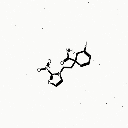 NC(=O)C1(CCn2ccnc2[N+](=O)[O-])C=CC=C(I)C1